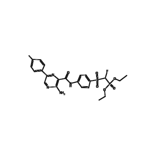 CCOP(=O)(OCC)C(F)S(=O)(=O)c1ccc(NC(=O)c2nc(-c3ccc(C)cc3)cnc2N)cc1